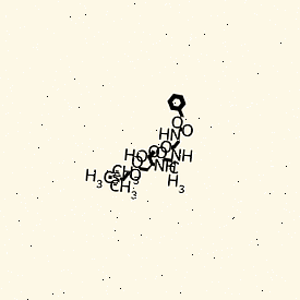 C[C@H](NC(=O)CNC(=O)OCc1ccccc1)C(=O)N[C@@H](CC(=O)OCCS(C)(C)C)C(=O)O